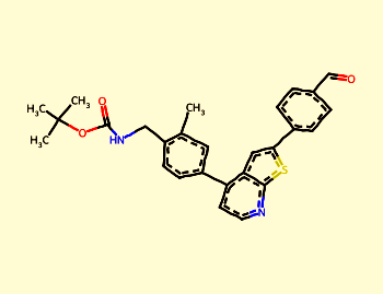 Cc1cc(-c2ccnc3sc(-c4ccc(C=O)cc4)cc23)ccc1CNC(=O)OC(C)(C)C